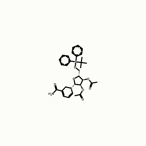 CC(=O)O[C@@H]1[C@H](OC(C)=O)[C@@H](CO[Si](c2ccccc2)(c2ccccc2)C(C)(C)C)O[C@H]1N1C=CC=C(C(N)=O)C1